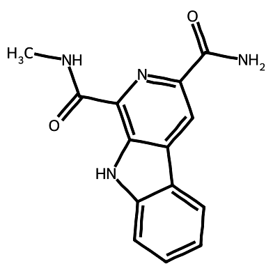 CNC(=O)c1nc(C(N)=O)cc2c1[nH]c1ccccc12